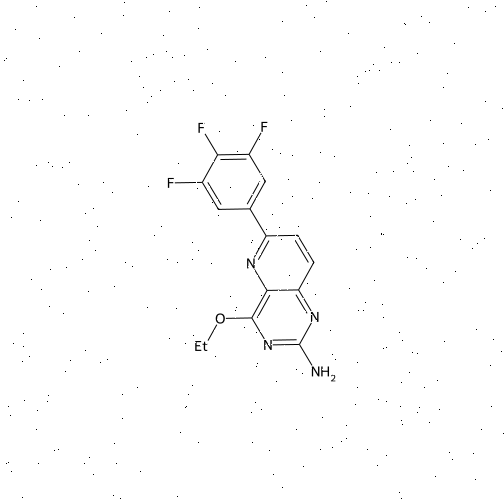 CCOc1nc(N)nc2ccc(-c3cc(F)c(F)c(F)c3)nc12